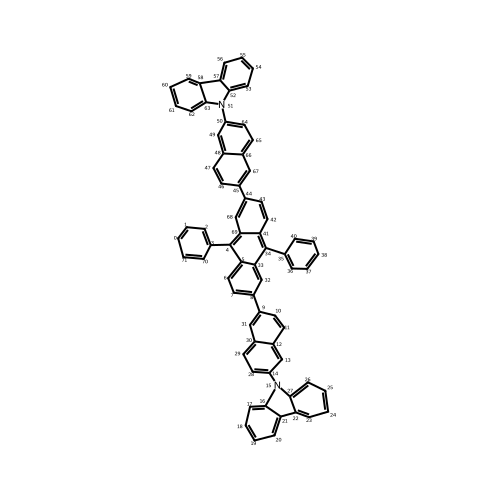 c1ccc(-c2c3ccc(-c4ccc5cc(-n6c7ccccc7c7ccccc76)ccc5c4)cc3c(-c3ccccc3)c3ccc(-c4ccc5cc(-n6c7ccccc7c7ccccc76)ccc5c4)cc23)cc1